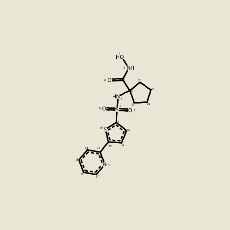 O=C(NO)C1(NS(=O)(=O)c2ccc(-c3ccccn3)s2)CCCC1